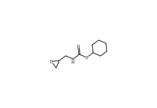 O=C(NCC1CO1)OC1CCCCC1